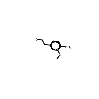 COc1cc(CC[O])ccc1N